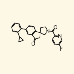 O=C1C[C@@]2(CCN(C(=O)c3ccc(F)cn3)C2)c2ccc(-c3ccccc3C3CC3)cc21